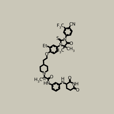 CCc1cc(N2C(=S)N(c3ccc(C#N)c(C(F)(F)F)c3)C(=O)C2(C)C)ccc1OCCC1CCN([C@H](C)C(=O)Nc2cccc(NC3CCC(=O)NC3=O)c2)CC1